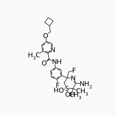 Cc1cc(OCC2CCC2)cnc1C(=O)Nc1ccc(F)c(C2(CF)CS(O)(O)C(C)(C)C(N)=N2)c1